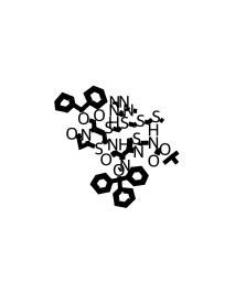 CSCSC[SH](CSC1=C(C(=O)OC(c2ccccc2)c2ccccc2)N2C(=O)CC2SC1NC(=O)/C(=N\OC(c1ccccc1)(c1ccccc1)c1ccccc1)c1csc(NC(=O)OC(C)(C)C)n1)c1nnnn1C